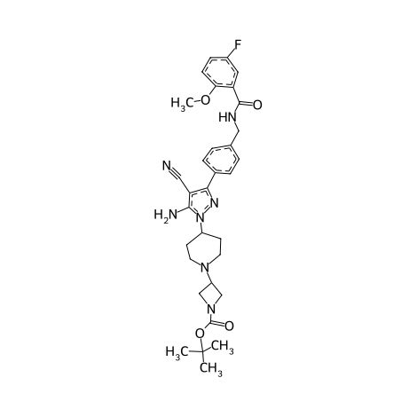 COc1ccc(F)cc1C(=O)NCc1ccc(-c2nn(C3CCN(C4CN(C(=O)OC(C)(C)C)C4)CC3)c(N)c2C#N)cc1